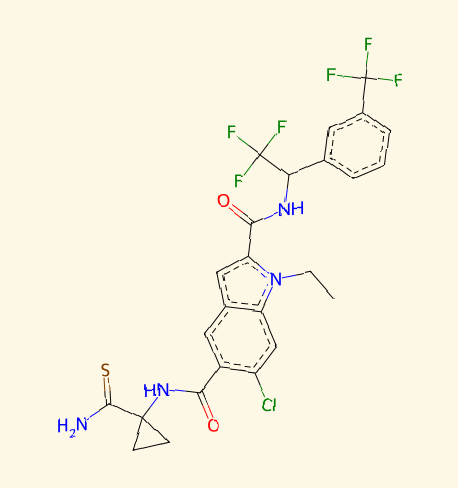 CCn1c(C(=O)NC(c2cccc(C(F)(F)F)c2)C(F)(F)F)cc2cc(C(=O)NC3(C(N)=S)CC3)c(Cl)cc21